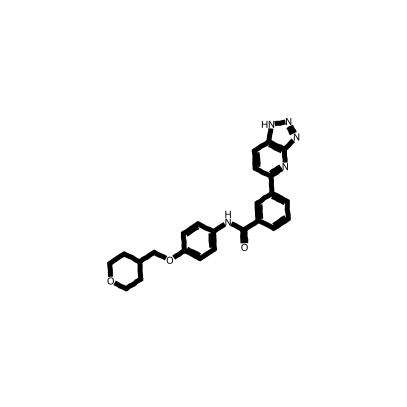 O=C(Nc1ccc(OCC2CCOCC2)cc1)c1cccc(-c2ccc3[nH]nnc3n2)c1